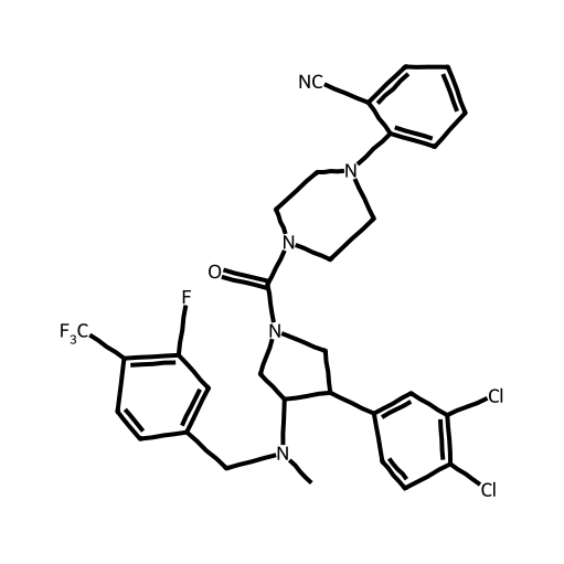 CN(Cc1ccc(C(F)(F)F)c(F)c1)C1CN(C(=O)N2CCN(c3ccccc3C#N)CC2)CC1c1ccc(Cl)c(Cl)c1